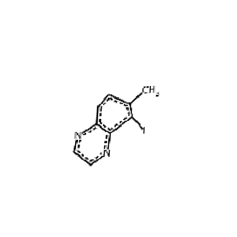 Cc1ccc2nccnc2c1I